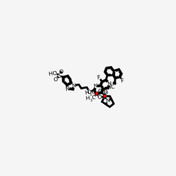 C#Cc1c(F)ccc2cccc(-c3ncc4c(N5CC6CCC(C5)N6C(=O)OC(C)(C)C)nc(OCCCn5cnc6cc(S(=O)(=O)O)ccc65)nc4c3F)c12